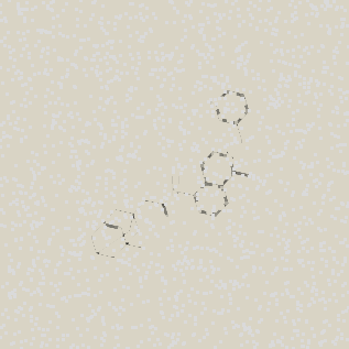 CC12C=C3CC(C1)CC(CC(=O)Nc1cccc4c(=O)n(Cc5cccnc5)ccc14)(C3)C2